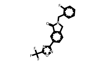 O=C1c2cc(-c3noc(C(F)(F)F)n3)ccc2CN1Cc1ccccc1F